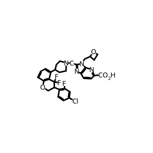 O=C(O)c1ccc2nc(CN3CCC(c4cccc5c4C(F)(F)C(c4ccc(Cl)cc4F)CO5)CC3)n(CC3CCO3)c2n1